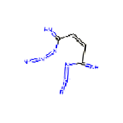 [N-]=[N+]=NC(=N)/C=C\C(=N)N=[N+]=[N-]